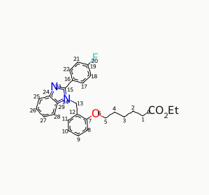 CCOC(=O)CCCCCOc1ccccc1Cn1c(-c2ccc(F)cc2)nc2ccccc21